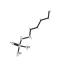 CCCCCOOP(=O)(O)O